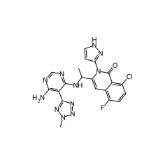 CC(Nc1ncnc(N)c1-c1nnn(C)n1)c1cc2c(F)ccc(Cl)c2c(=O)n1-c1cc[nH]n1